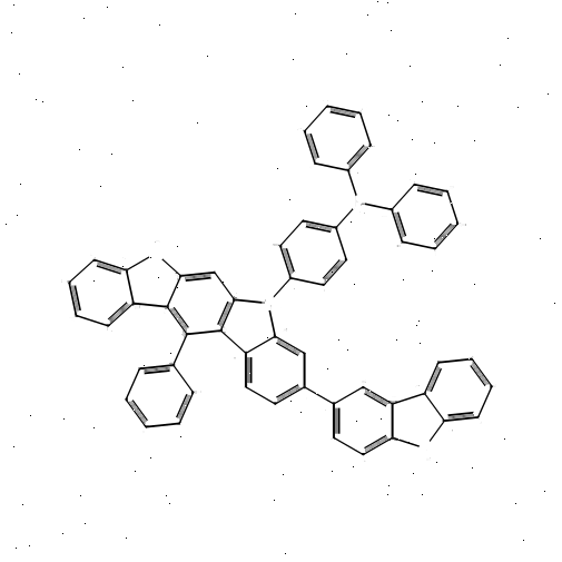 c1ccc(-c2c3c(cc4c2c2ccc(-c5ccc6sc7ccccc7c6c5)cc2n4-c2ccc(N(c4ccccc4)c4ccccc4)cc2)oc2ccccc23)cc1